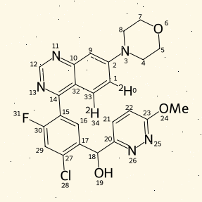 [2H]c1c(N2CCOCC2)cc2ncnc(-c3cc(C(O)c4ccc(OC)nn4)c(Cl)cc3F)c2c1[2H]